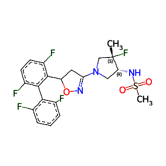 C[C@]1(F)CN(C2=NOC(c3c(F)ccc(F)c3-c3c(F)cccc3F)C2)C[C@H]1NS(C)(=O)=O